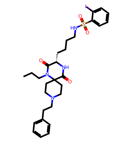 CCCN1C(=O)[C@H](CCCCNS(=O)(=O)c2ccccc2I)NC(=O)C12CCN(CCc1ccccc1)CC2